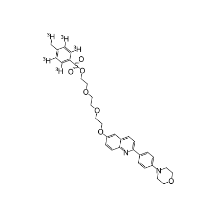 [3H]Cc1c([3H])c([3H])c(S(=O)(=O)OCCOCCOCCOc2ccc3nc(-c4ccc(N5CCOCC5)cc4)ccc3c2)c([3H])c1[3H]